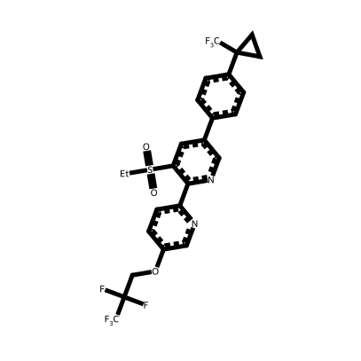 CCS(=O)(=O)c1cc(-c2ccc(C3(C(F)(F)F)CC3)cc2)cnc1-c1ccc(OCC(F)(F)C(F)(F)F)cn1